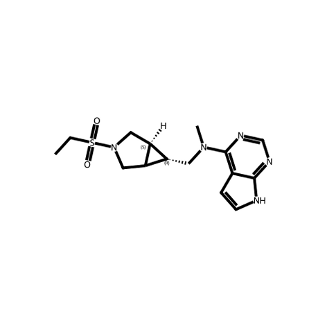 CCS(=O)(=O)N1CC2[C@@H](CN(C)c3ncnc4[nH]ccc34)[C@@H]2C1